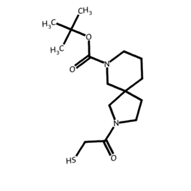 CC(C)(C)OC(=O)N1CCCC2(CCN(C(=O)CS)C2)C1